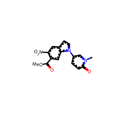 COC(=O)c1cc2c(ccn2-c2ccc(=O)n(C)c2)cc1[N+](=O)[O-]